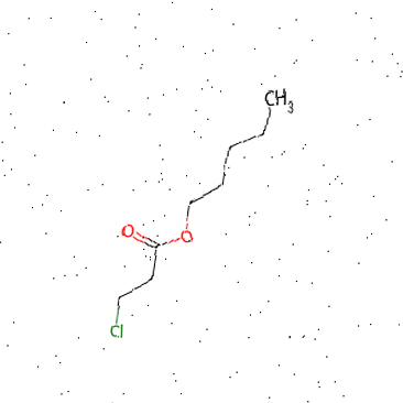 CCCCCOC(=O)CCCl